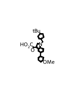 COc1cccc(-c2ccc3c(c2)c(C(=O)C(=O)O)cn3Cc2ccc(C(C)(C)C)cc2)c1